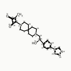 Cc1c(N2CCC3(CCN(C[C@H](O)c4ccc(-n5cnnn5)nc4)CC3)CC2)c(=O)c1=O